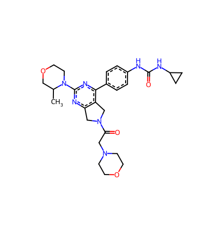 CC1COCCN1c1nc2c(c(-c3ccc(NC(=O)NC4CC4)cc3)n1)CN(C(=O)CN1CCOCC1)C2